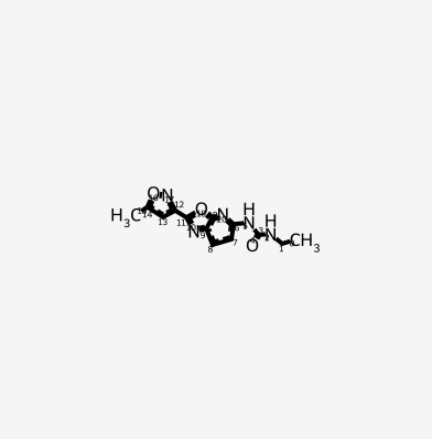 CCNC(=O)Nc1ccc2nc(-c3cc(C)on3)oc2n1